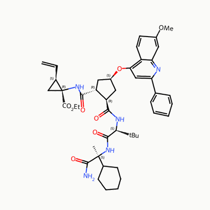 C=C[C@@H]1C[C@]1(NC(=O)[C@@H]1C[C@@H](Oc2cc(-c3ccccc3)nc3cc(OC)ccc23)C[C@H]1C(=O)N[C@H](C(=O)N[C@](C)(C(N)=O)C1CCCCC1)C(C)(C)C)C(=O)OCC